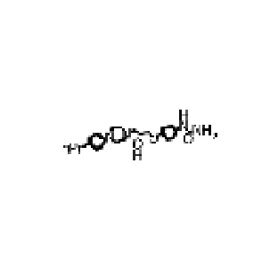 CCCc1ccc(N2CCN(C[C@@H](O)COc3ccc(NC(N)=O)cc3)CC2)cc1